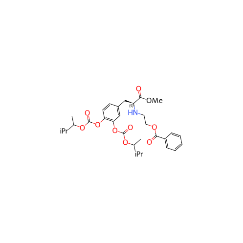 COC(=O)[C@H](Cc1ccc(OC(=O)OC(C)C(C)C)c(OC(=O)OC(C)C(C)C)c1)NCCOC(=O)c1ccccc1